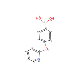 OB(O)c1ccc(Oc2ccccn2)cc1